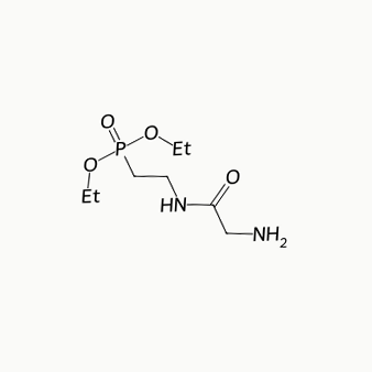 CCOP(=O)(CCNC(=O)CN)OCC